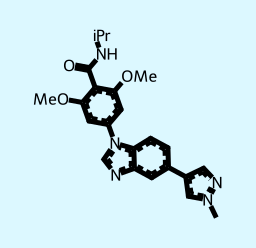 COc1cc(-n2cnc3cc(-c4cnn(C)c4)ccc32)cc(OC)c1C(=O)NC(C)C